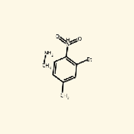 CCc1cc(C)ccc1[SH](=O)=O.CN